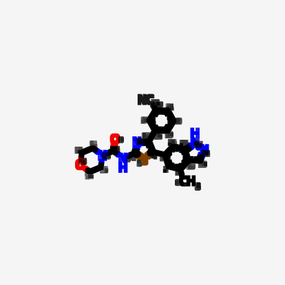 Cc1cc(-c2sc(NC(=O)N3CCOCC3)nc2-c2cccc(C#N)c2)cc2[nH]ncc12